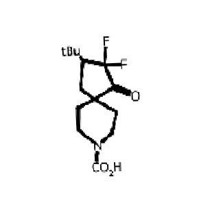 CC(C)(C)C1CC2(CCN(C(=O)O)CC2)C(=O)C1(F)F